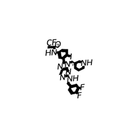 O=C(CC(F)(F)F)Nc1ccc(I)c(-c2nc3cnc(NCc4ccc(F)c(F)c4)nc3n2C[C@@H]2CCCNC2)c1